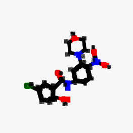 O=C(Nc1ccc([N+](=O)[O-])c(N2CCOCC2)c1)c1cc(Cl)ccc1O